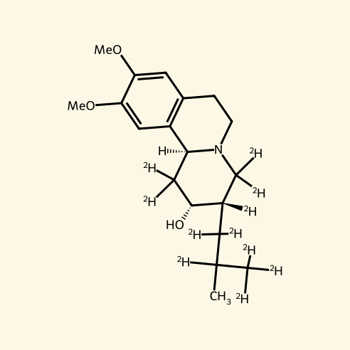 [2H]C1([2H])[C@@H](O)[C@@]([2H])(C([2H])([2H])C([2H])(C)C([2H])([2H])[2H])C([2H])([2H])N2CCc3cc(OC)c(OC)cc3[C@@H]21